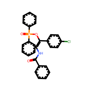 O=C(NC=C(OP(=O)(c1ccccc1)c1ccccc1)c1ccc(Cl)cc1)c1ccccc1